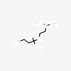 CN(C)CCOC(C)(C)CCN